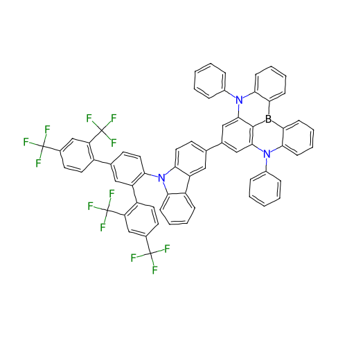 FC(F)(F)c1ccc(-c2ccc(-n3c4ccccc4c4cc(-c5cc6c7c(c5)N(c5ccccc5)c5ccccc5B7c5ccccc5N6c5ccccc5)ccc43)c(-c3ccc(C(F)(F)F)cc3C(F)(F)F)c2)c(C(F)(F)F)c1